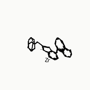 [CH]1C(CC23CC4CC(CC(C4)C2)C3)=Cc2c1cccc2-c1cccc2ccccc12.[Zr]